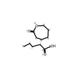 CCCCC(=O)O.O=C1CCCCCO1